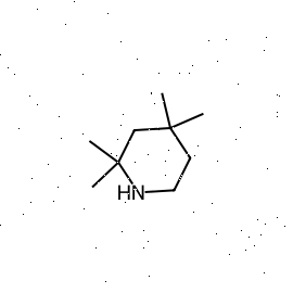 CC1(C)CCNC(C)(C)C1